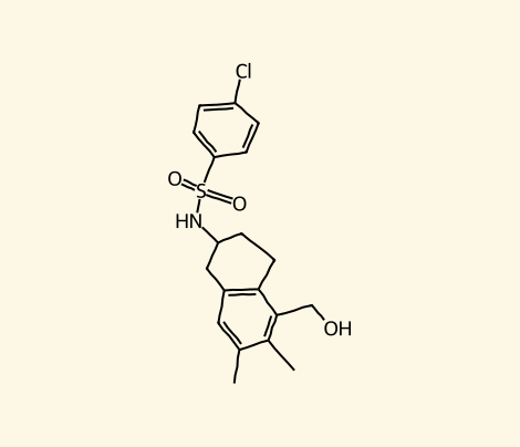 Cc1cc2c(c(CO)c1C)CCC(NS(=O)(=O)c1ccc(Cl)cc1)C2